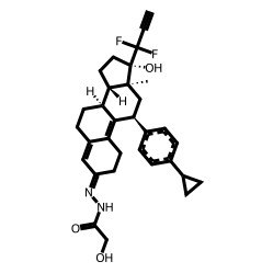 C#CC(F)(F)[C@]1(O)CC[C@H]2[C@@H]3CCC4=C/C(=N/NC(=O)CO)CCC4=C3[C@H](c3ccc(C4CC4)cc3)C[C@@]21C